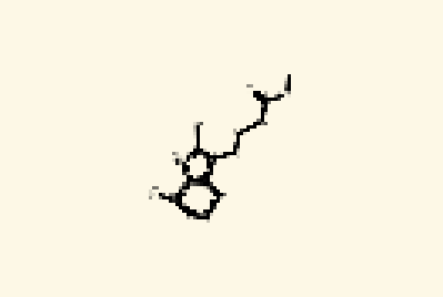 COC(=O)CCCc1c(C)[nH]c2c(Br)cccc12